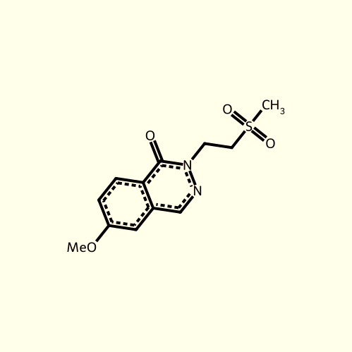 COc1ccc2c(=O)n(CCS(C)(=O)=O)ncc2c1